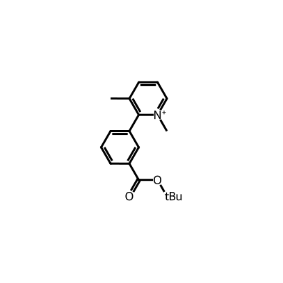 Cc1ccc[n+](C)c1-c1cccc(C(=O)OC(C)(C)C)c1